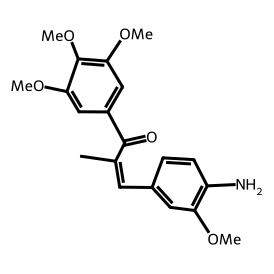 COc1cc(C=C(C)C(=O)c2cc(OC)c(OC)c(OC)c2)ccc1N